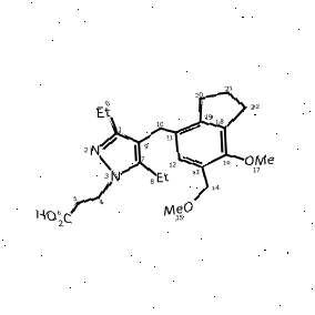 CCc1nn(CCC(=O)O)c(CC)c1Cc1cc(COC)c(OC)c2c1CCC2